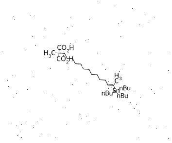 CCC[CH2][Sn]([CH2]CCC)([CH2]CCC)[C](C)=CCCCCCCCCCCCC(C)(C(=O)O)C(=O)O